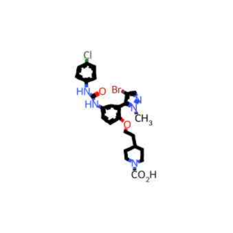 Cn1ncc(Br)c1-c1cc(NC(=O)Nc2ccc(Cl)cc2)ccc1OCCC1CCN(C(=O)O)CC1